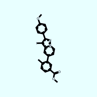 COC(=O)c1ccc(C)c(-c2ccn3nc(-c4ccc(OC)cc4)c(I)c3c2)c1